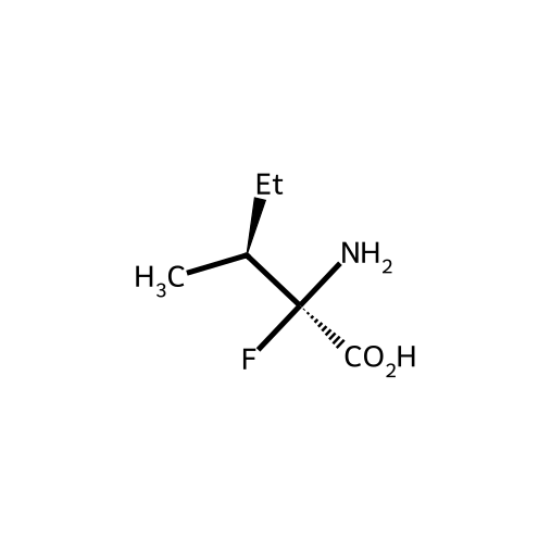 CC[C@H](C)[C@@](N)(F)C(=O)O